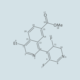 CCc1cnc(C2=C(F)C=NCC2F)c2cc(C(=O)OC)ccc12